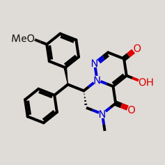 COc1cccc([C@H](c2ccccc2)[C@H]2CN(C)C(=O)c3c(O)c(=O)cnn32)c1